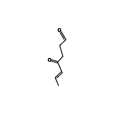 C/C=C/C(=O)CCC=O